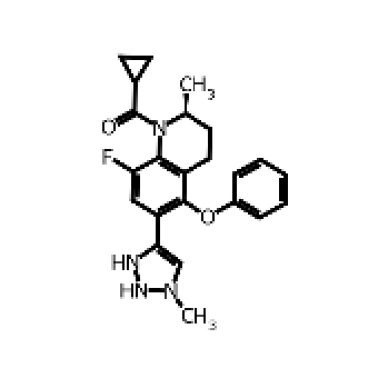 C[C@H]1CCc2c(Oc3ccccc3)c(C3=CN(C)NN3)cc(F)c2N1C(=O)C1CC1